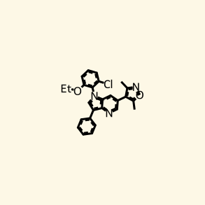 CCOc1cccc(Cl)c1-n1cc(-c2ccccc2)c2ncc(-c3c(C)noc3C)cc21